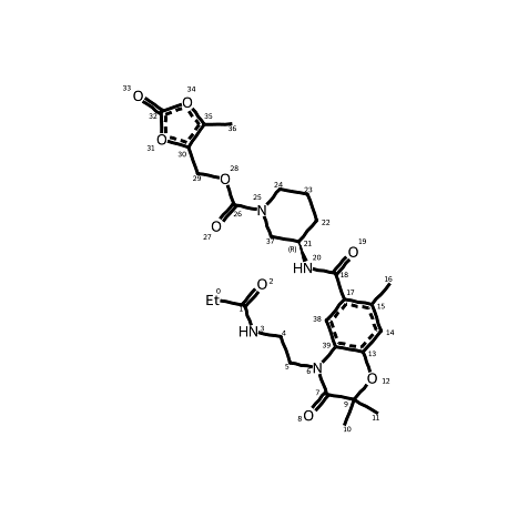 CCC(=O)NCCN1C(=O)C(C)(C)Oc2cc(C)c(C(=O)N[C@@H]3CCCN(C(=O)OCc4oc(=O)oc4C)C3)cc21